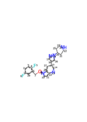 Fc1ccc(F)c(COn2ccc3ncc(-c4cnn(C5CCNCC5)c4)cc32)c1